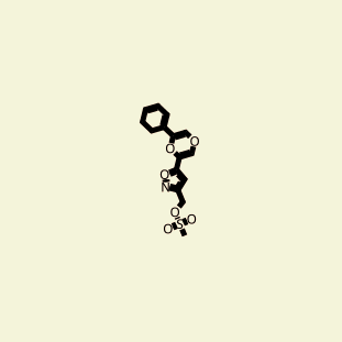 CS(=O)(=O)OCc1cc(C2=COC=C(C3=CC=CCC3)O2)on1